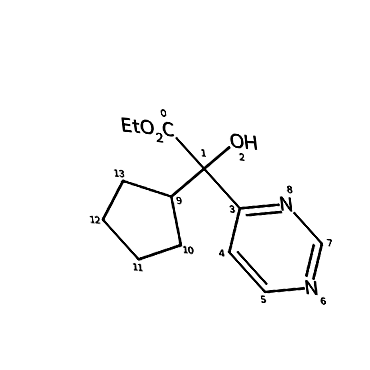 CCOC(=O)C(O)(c1ccncn1)C1CCCC1